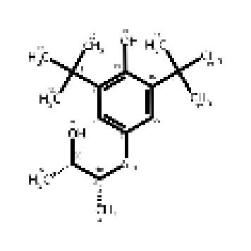 C[C@H](O)[C@@H](C)Sc1cc(C(C)(C)C)c(O)c(C(C)(C)C)c1